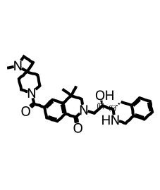 CN1CCC12CCN(C(=O)c1ccc3c(c1)C(C)(C)CN(C[C@@H](O)[C@@H]1Cc4ccccc4CN1)C3=O)CC2